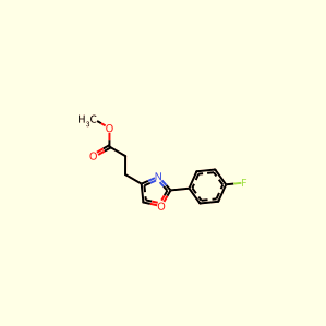 COC(=O)CCc1coc(-c2ccc(F)cc2)n1